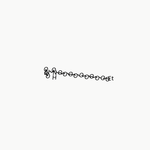 CCOCCOCCOCCOCCOCCOCCOCCOCCOCCOCCNC(=O)CCN1C(=O)C=CC1=O